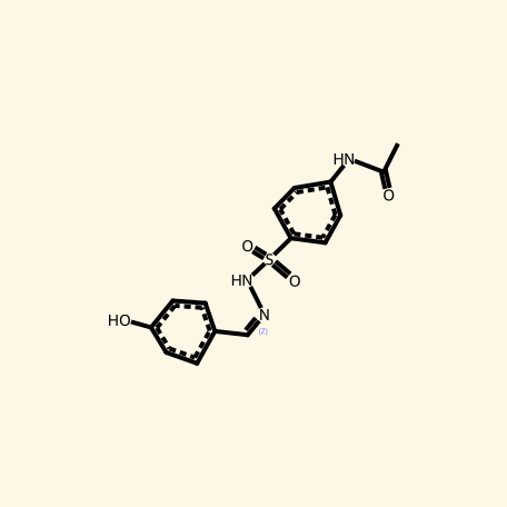 CC(=O)Nc1ccc(S(=O)(=O)N/N=C\c2ccc(O)cc2)cc1